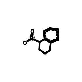 O=[N+]([O-])C1CCCc2ccccc21